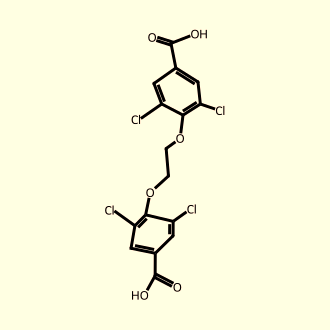 O=C(O)c1cc(Cl)c(OCCOc2c(Cl)cc(C(=O)O)cc2Cl)c(Cl)c1